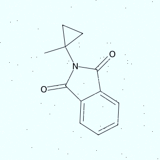 CC1(N2C(=O)c3ccccc3C2=O)CC1